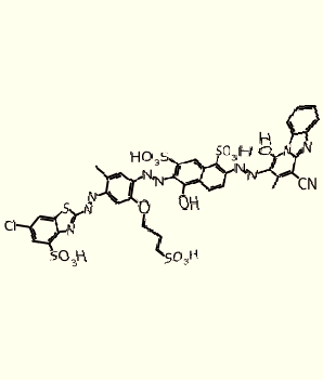 Cc1cc(N=Nc2c(S(=O)(=O)O)cc3c(S(=O)(=O)O)c(N=Nc4c(C)c(C#N)c5nc6ccccc6n5c4O)ccc3c2O)c(OCCCS(=O)(=O)O)cc1N=Nc1nc2c(S(=O)(=O)O)cc(Cl)cc2s1